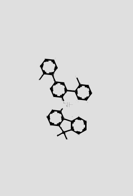 Cc1ccccc1-c1ccc(Nc2cccc3c2-c2ccccc2C3(C)C)c(-c2ccccc2C)c1